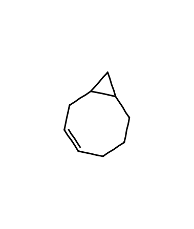 C1=CCC2CC2CCC1